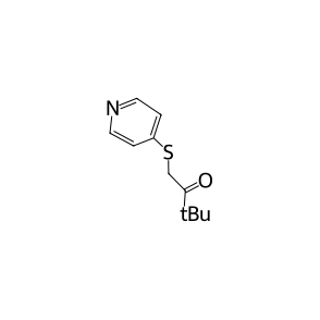 CC(C)(C)C(=O)CSc1ccncc1